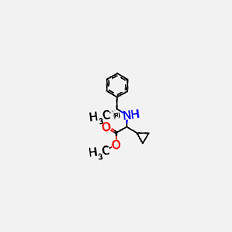 COC(=O)C(N[C@H](C)c1ccccc1)C1CC1